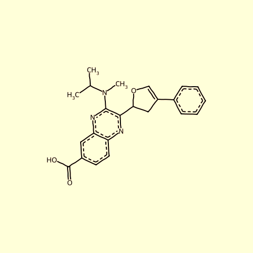 CC(C)N(C)c1nc2cc(C(=O)O)ccc2nc1C1CC(c2ccccc2)=CO1